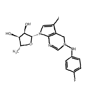 C[C@H]1O[C@@H](n2cc(I)c3c2N=CN(Nc2ccc(F)cc2)C3)[C@H](O)[C@@H]1O